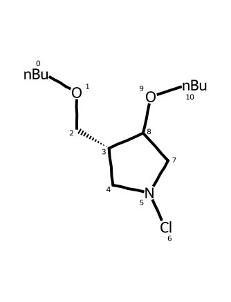 CCCCOC[C@H]1CN(Cl)CC1OCCCC